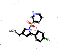 CNCc1cc(-c2ccc(F)cc2)n(S(=O)(=O)c2cccnc2)c1